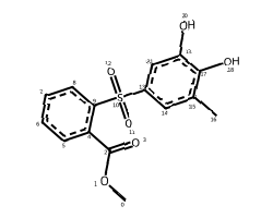 COC(=O)c1ccccc1S(=O)(=O)c1cc(C)c(O)c(O)c1